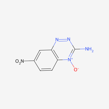 Nc1nnc2cc([N+](=O)[O-])ccc2[n+]1[O-]